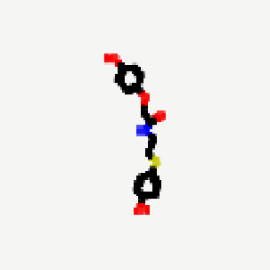 O=C(COc1ccc(O)cc1)NCCSc1ccc(O)cc1